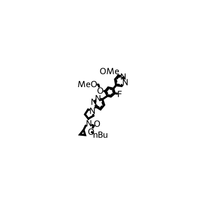 CCCCOC(=O)N(CC1CC1)[C@H]1CCN(c2ccc(-c3cc(F)c(-c4cnnc(OC)c4)cc3OCOC)nn2)C1